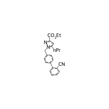 CCCc1cc(C(=O)OCC)nn1Cc1ccc(-c2ccccc2C#N)cc1